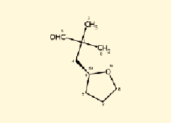 CC(C)(C=O)C[C@@H]1CCCO1